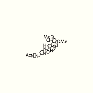 COc1cc(OC)c(Cl)c(-c2ccc(C(=O)Nc3ccc(CN4CCN(C(C)=O)CC4)cn3)c3nccnc23)c1Cl